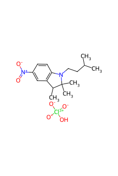 CC(C)CCN1c2ccc([N+](=O)[O-])cc2C(C)C1(C)C.[O-][Cl+3]([O-])([O-])O